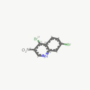 O=[N+]([O-])c1cnc2cc(Br)ccc2c1Br